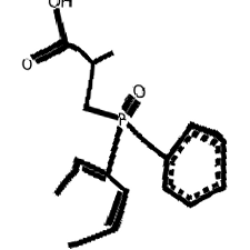 C/C=C\C(=C/C)P(=O)(CC(C)C(=O)O)c1ccccc1